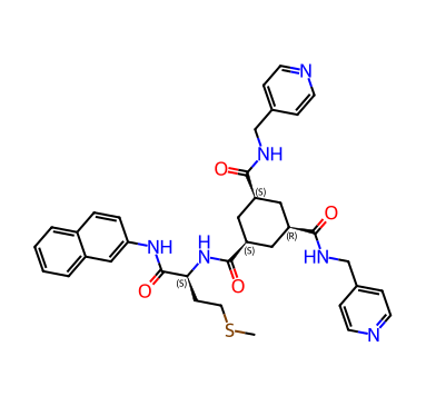 CSCC[C@H](NC(=O)[C@@H]1C[C@H](C(=O)NCc2ccncc2)C[C@H](C(=O)NCc2ccncc2)C1)C(=O)Nc1ccc2ccccc2c1